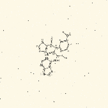 CCC(Nc1ncnc2[nH]cnc12)c1nc2ccsc2c(=O)n1-c1cccc(OC)c1